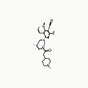 C=Nc1c(C#N)c(F)cc([C@H]2C[C@@H](C)CN(C(=O)CC3CCN(C)CC3)C2)c1/C=C\C